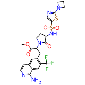 COC(=O)C(Cc1cc2ccnc(N)c2cc1C(F)(F)F)N1CCC(NS(=O)(=O)c2cnc(N3CCC3)s2)C1=O